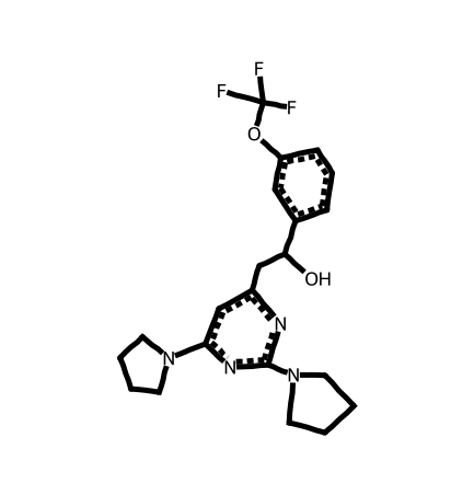 OC(Cc1cc(N2CCCC2)nc(N2CCCC2)n1)c1cccc(OC(F)(F)F)c1